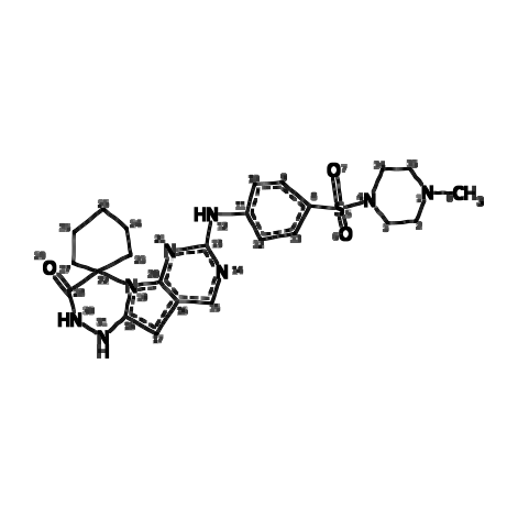 CN1CCN(S(=O)(=O)c2ccc(Nc3ncc4cc5n(c4n3)C3(CCCCC3)C(=O)NN5)cc2)CC1